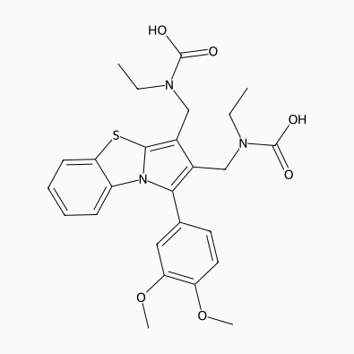 CCN(Cc1c(CN(CC)C(=O)O)c2sc3ccccc3n2c1-c1ccc(OC)c(OC)c1)C(=O)O